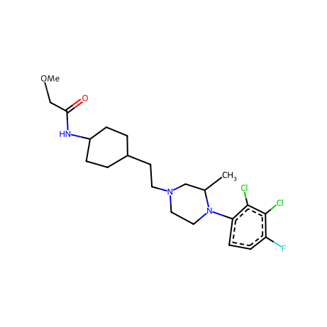 COCC(=O)NC1CCC(CCN2CCN(c3ccc(F)c(Cl)c3Cl)C(C)C2)CC1